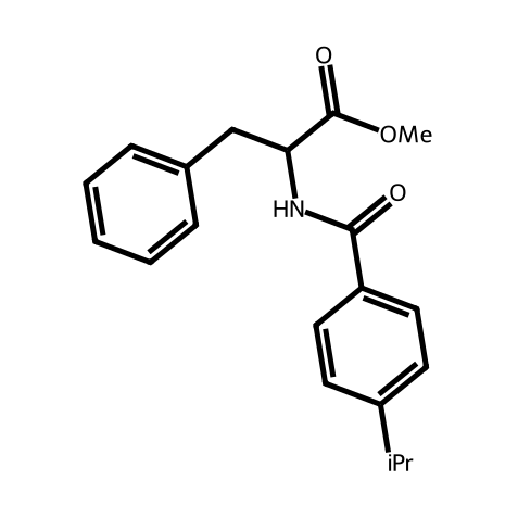 COC(=O)C(Cc1ccccc1)NC(=O)c1ccc(C(C)C)cc1